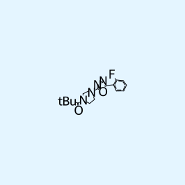 CC(C)(C)C(=O)N1CCN(c2nnc(-c3ccccc3F)o2)CC1